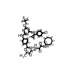 COC(=O)[C@H](CNC(=O)C(=O)NC1CCCCCCC1)NC(=O)c1ccc(Nc2nc(NC3(c4ccc(Cl)cc4)CC3)nc(OCC(F)(F)F)n2)cc1